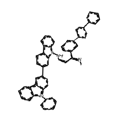 C/N=C(\C=C/Nn1c2ccccc2c2ccc(-c3ccc4c(c3)c3ccccc3n4-c3ccccc3)cc21)c1cccc(-c2ccc(-c3ccccc3)cc2)c1